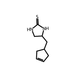 S=C1NCC(CC2CC=CC2)N1